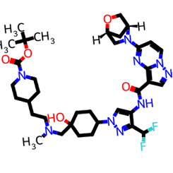 CN(CCC1CCN(C(=O)OC(C)(C)C)CC1)CC1(O)CCC(n2cc(NC(=O)c3cnn4ccc(N5C[C@H]6C[C@@H]5CO6)nc34)c(C(F)F)n2)CC1